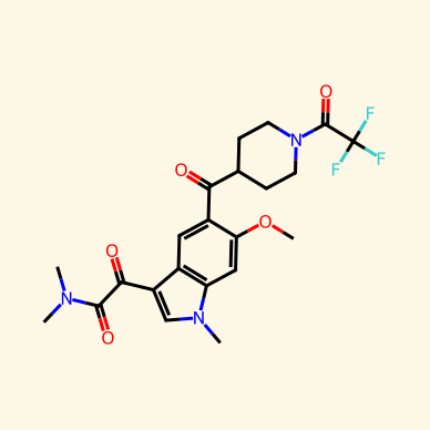 COc1cc2c(cc1C(=O)C1CCN(C(=O)C(F)(F)F)CC1)c(C(=O)C(=O)N(C)C)cn2C